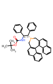 CC(C)(C)OC(=O)N[C@@H](c1ccccc1)[C@H](c1ccccc1)P1Cc2ccc3ccccc3c2-c2c(ccc3ccccc23)C1